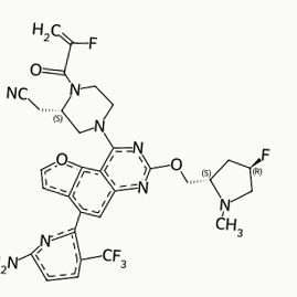 C=C(F)C(=O)N1CCN(c2nc(OC[C@@H]3C[C@@H](F)CN3C)nc3cc(-c4nc(N)ccc4C(F)(F)F)c4ccoc4c23)C[C@@H]1CC#N